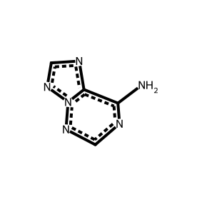 Nc1ncnn2ncnc12